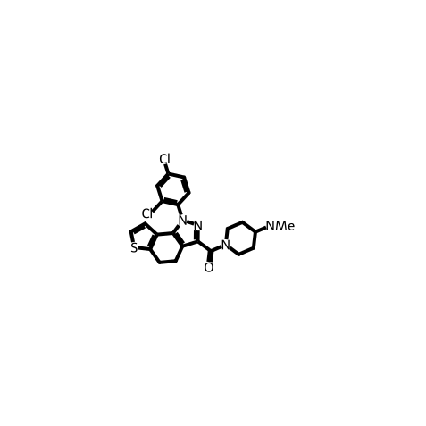 CNC1CCN(C(=O)c2nn(-c3ccc(Cl)cc3Cl)c3c2CCc2sccc2-3)CC1